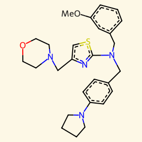 COc1cccc(CN(Cc2ccc(N3CCCC3)cc2)c2nc(CN3CCOCC3)cs2)c1